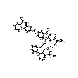 CC(Br)C(=O)N(C)C1=C(Cl)C(=O)c2ccccc2C1=O.CN(C(=O)CBr)C1=C(Cl)C(=O)c2ccccc2C1=O.O=C(CBr)NC1=C(Cl)C(=O)c2ccccc2C1=O